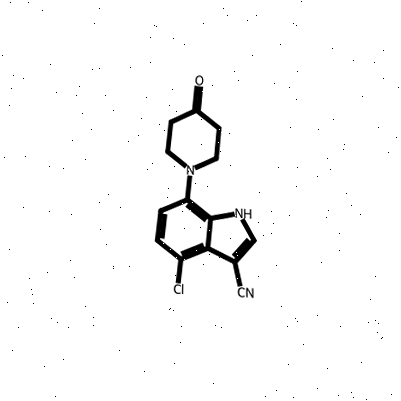 N#Cc1c[nH]c2c(N3CCC(=O)CC3)ccc(Cl)c12